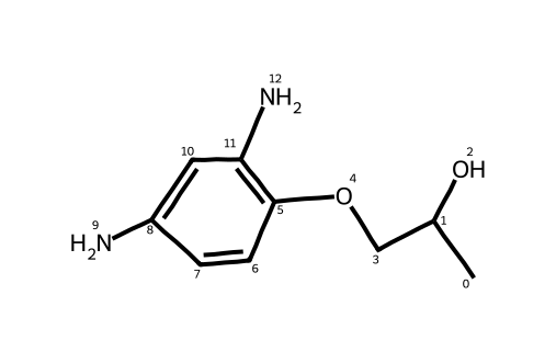 CC(O)COc1ccc(N)cc1N